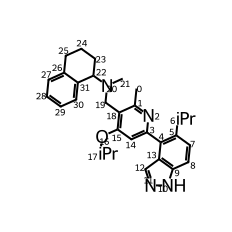 Cc1nc(-c2c(C(C)C)ccc3[nH]ncc23)cc(OC(C)C)c1CN(C)C1CCCc2ccccc21